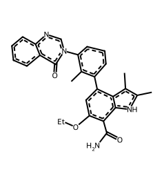 CCOc1cc(-c2cccc(-n3cnc4ccccc4c3=O)c2C)c2c(C)c(C)[nH]c2c1C(N)=O